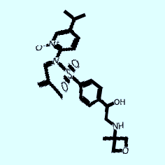 CC(C)CN(c1ccc(C(C)C)c[n+]1[O-])S(=O)(=O)c1ccc(C(O)CNC2(C)COC2)cc1